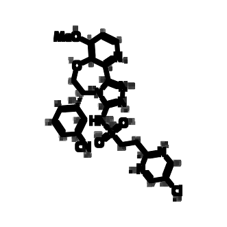 COc1ccnc2c1OC[C@@H](c1cccc(C#N)c1)n1c(NS(=O)(=O)CCc3ncc(Cl)cn3)nnc1-2